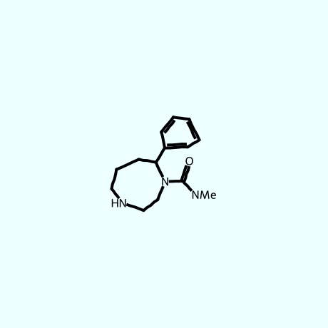 CNC(=O)N1CCNCCCC1c1ccccc1